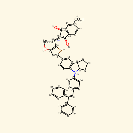 CCCCCOc1cc(-c2ccc3c(c2)C2CCCC2N3c2ccc(C=C(c3ccccc3)c3ccccc3)cc2)sc1/C=C1\C(=O)c2ccc(C(=O)O)cc2C1=O